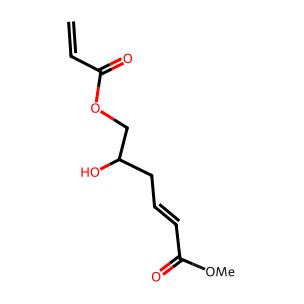 C=CC(=O)OCC(O)CC=CC(=O)OC